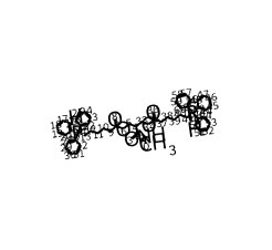 CNC(=O)C(COC(=O)CCCCC[PH](c1ccccc1)(c1ccccc1)c1ccccc1)COC(=O)CCCCC[PH](c1ccccc1)(c1ccccc1)c1ccccc1